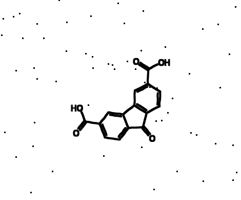 O=C(O)c1ccc2c(c1)-c1cc(C(=O)O)ccc1C2=O